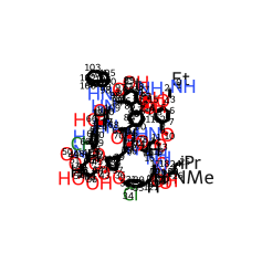 CCNCCOc1ccc(C(=O)NC(=O)C[C@@H]2NC(=O)[C@H](NC(=O)[C@@H](CC(C)C)NC)[C@H](O)c3ccc(c(Cl)c3)Oc3cc4cc(c3O[C@@H]3O[C@@H]5CNC(=O)O[C@H]5[C@H](O)[C@H]3O)Oc3ccc(cc3Cl)[C@@H](O)[C@@H]3NC(=O)[C@H](NC(=O)[C@@H]4NC2=O)c2ccc4c(c2)-c2c(cc(O)cc2C4(O)O)[C@@H](C(=O)NC2C4CC5CC(C4)CC2C5)NC3=O)cc1OCCNCC